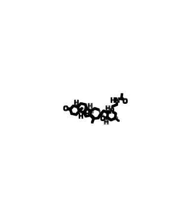 CC(=O)NCCN1C[C@@H](C)C[C@H]2O[C@]3(CC[C@@H]4C(=C(C)C3)C[C@H]3[C@H]4CC[C@@H]4CC(=O)CCC43C)C[C@@H]21